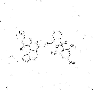 COc1cc(C)c(S(=O)(=O)N2CCCCC2COCC(=O)N2CCn3cccc3C2c2ccc(C(F)(F)F)cc2F)c(C)c1